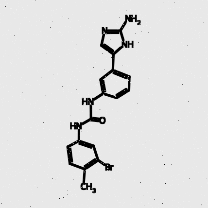 Cc1ccc(NC(=O)Nc2cccc(-c3cnc(N)[nH]3)c2)cc1Br